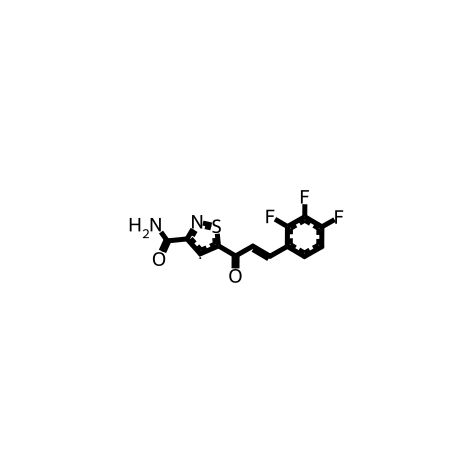 NC(=O)c1[c]c(C(=O)C=Cc2ccc(F)c(F)c2F)sn1